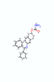 NC(=O)OC1CCc2cc(N=C(c3ccccc3)c3ccccc3)ccc2C1